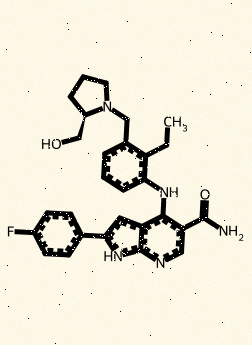 CCc1c(CN2CCC[C@@H]2CO)cccc1Nc1c(C(N)=O)cnc2[nH]c(-c3ccc(F)cc3)cc12